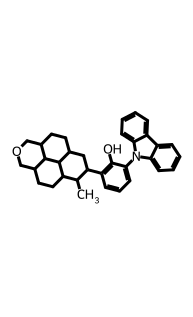 CC1C(c2cccc(-n3c4ccccc4c4ccccc43)c2O)CC2CCC3COCC4CCC1C2C34